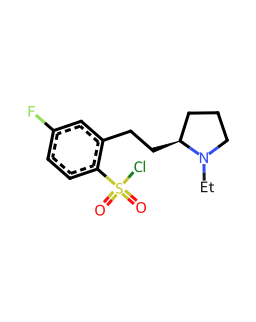 CCN1CCC[C@@H]1CCc1cc(F)ccc1S(=O)(=O)Cl